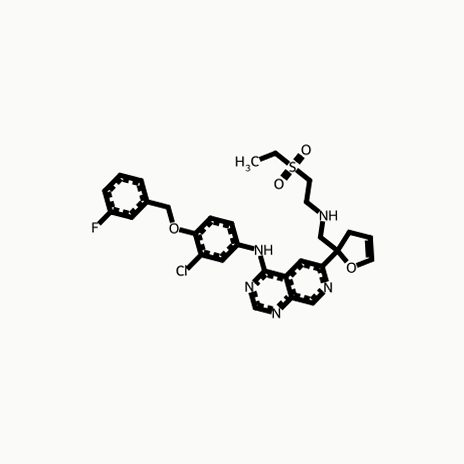 CCS(=O)(=O)CCNCC1(c2cc3c(Nc4ccc(OCc5cccc(F)c5)c(Cl)c4)ncnc3cn2)CC=CO1